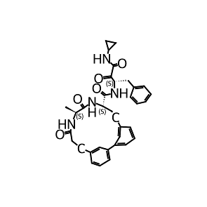 C[C@@H]1NC(=O)CCc2cccc(c2)-c2cccc(c2)CC[C@@H](C(=O)N[C@@H](Cc2ccccc2)C(=O)C(=O)NC2CC2)NC1=O